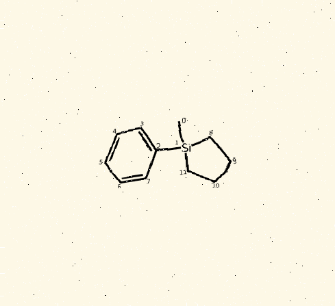 C[Si]1(c2ccccc2)CCCC1